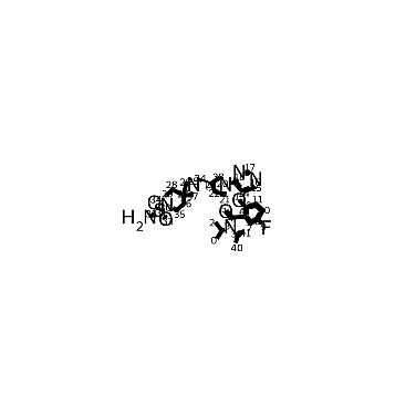 CC(C)N(C(=O)c1cc(F)ccc1Oc1cncnc1N1CC[C@@H](CN2CC3(CCN(S(N)(=O)=O)CC3)C2)C1)C(C)C